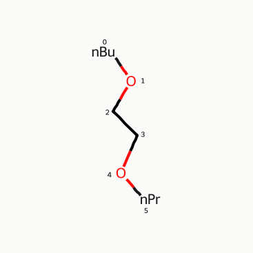 C[CH]CCOCCOCCC